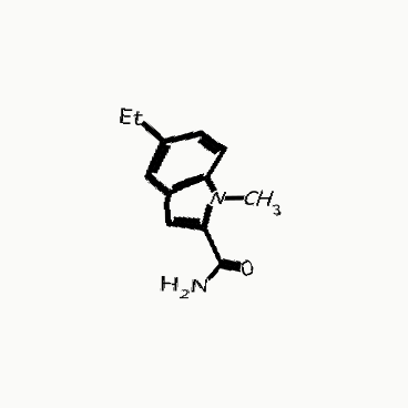 CCc1ccc2c(c1)cc(C(N)=O)n2C